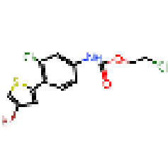 O=C(Nc1ccc(-c2cc(Br)cs2)c(Cl)c1)OCCCl